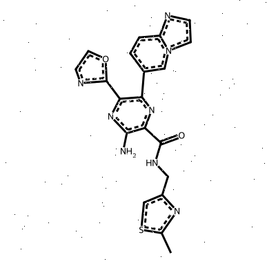 Cc1nc(CNC(=O)c2nc(-c3ccc4nccn4c3)c(-c3ncco3)nc2N)cs1